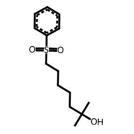 CC(C)(O)CCCCCS(=O)(=O)c1ccccc1